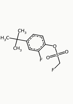 CC(C)(C)c1ccc(OS(=O)(=O)CF)c(F)c1